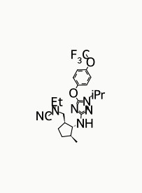 CCN(C#N)C[C@@H]1CC[C@H](C)[C@H]1Nc1nc(Oc2ccc(OC(F)(F)F)cc2)n(C(C)C)n1